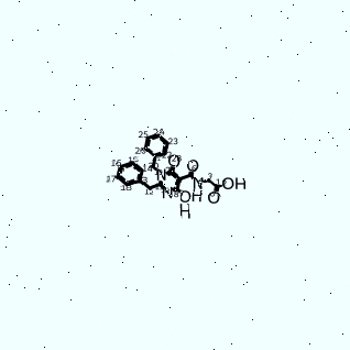 O=C(O)CNC(=O)c1c(O)nc(Cc2ccccc2)n(Cc2ccccc2)c1=O